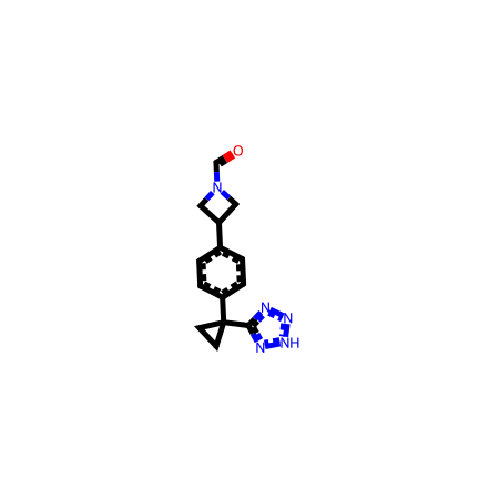 O=CN1CC(c2ccc(C3(c4nn[nH]n4)CC3)cc2)C1